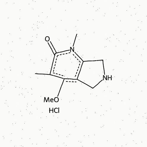 COc1c2c(n(C)c(=O)c1C)CNC2.Cl